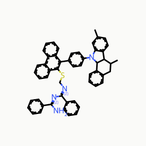 Cc1ccc2c(c1)N(c1ccc(-c3c(SC/N=C(\N=C(/N)c4ccccc4)c4ccccc4)c4ccccc4c4ccccc34)cc1)C1c3ccccc3CC(C)C21